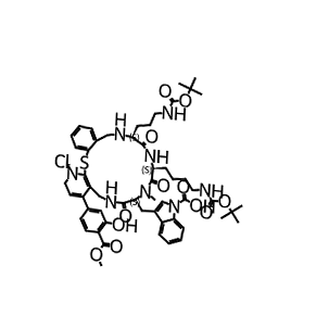 COC(=O)c1ccc(C2=CCN(Cl)C3=C2CNC(=O)[C@H](Cc2cn(C(=O)O)c4ccccc24)N(C)C(=O)[C@H](CCCCNC(=O)OC(C)(C)C)NC(=O)[C@H](CCCNC(=O)OC(C)(C)C)NCc2ccccc2S3)cc1O